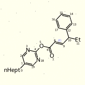 CCCCCCCc1cnc(OC(=O)/C=C/C(CC)c2ccccc2)nc1